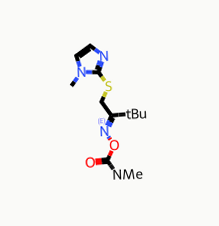 CNC(=O)O/N=C(/CSc1nccn1C)C(C)(C)C